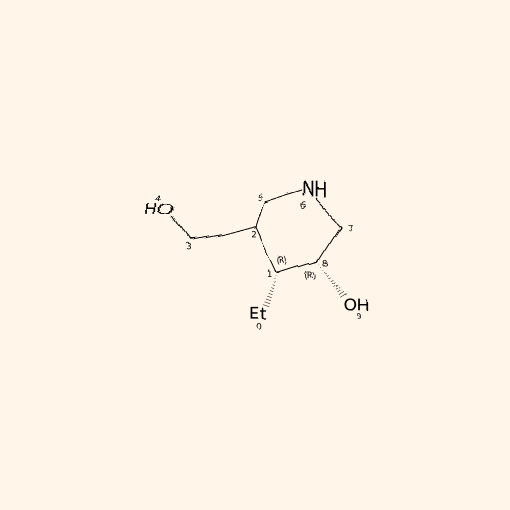 CC[C@@H]1C(CO)CNC[C@@H]1O